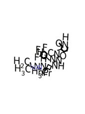 C=C/C(C)=C\N=C(/CCC)NC1(C)CC(NC2=NC(=O)N(Cc3ccc[nH]c3=O)C(=C)N2Cc2cc(F)c(F)c(F)c2)C1